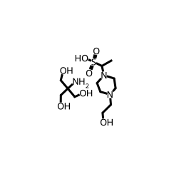 CC(N1CCN(CCO)CC1)S(=O)(=O)O.NC(CO)(CO)CO